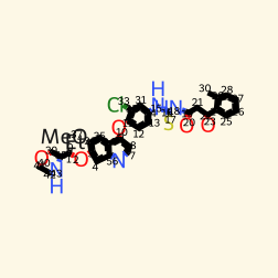 CCC(Oc1cc2nccc(Oc3ccc(NC(=S)NC(=O)CC(=O)c4ccccc4C)cc3Cl)c2cc1OC)C1COCCN1